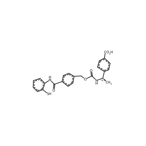 C[C@@H](NC(=O)OCc1ccc(C(=O)Nc2ccccc2S)cc1)c1ccc(C(=O)O)cc1